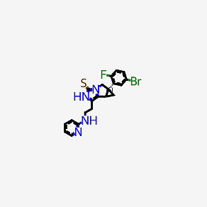 Fc1ccc(Br)cc1[C@]12CC1c1c(CCNc3ccccn3)[nH]c(=S)n1C2